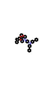 CC1(C)c2ccccc2-c2cc(C3(c4ccccc4)c4ccccc4N(c4ccc(N(c5ccc(-c6ccccc6)cc5)c5ccc(-c6ccccc6)cc5)cc4)c4ccccc43)ccc21